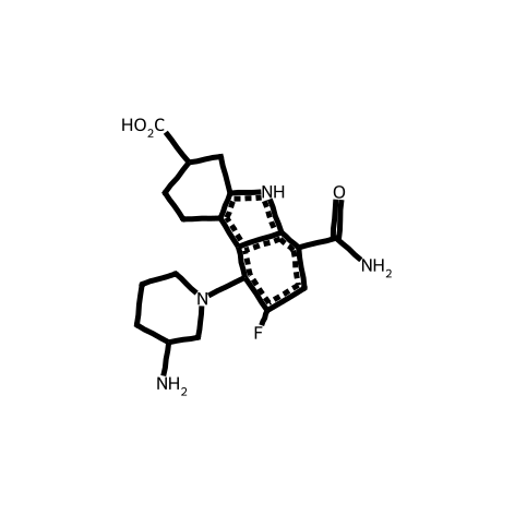 NC(=O)c1cc(F)c(N2CCCC(N)C2)c2c3c([nH]c12)CC(C(=O)O)CC3